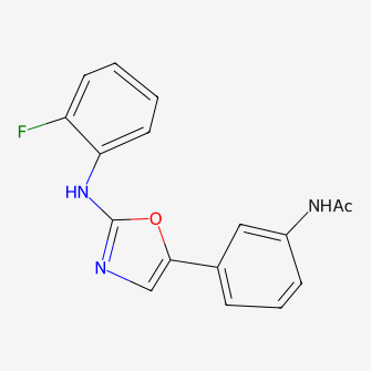 CC(=O)Nc1cccc(-c2cnc(Nc3ccccc3F)o2)c1